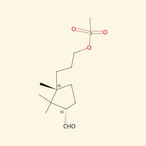 CC1(C)[C@@H](C=O)CC[C@@]1(C)CCCOS(C)(=O)=O